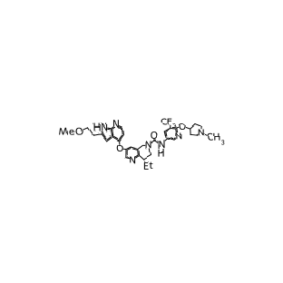 CC[C@H]1CN(C(=O)Nc2cnc(OC3CCN(C)CC3)c(C(F)(F)F)c2)Cc2cc(Oc3ccnc4[nH]c(CCOC)cc34)cnc21